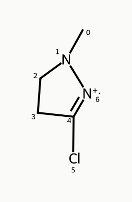 CN1CCC(Cl)=[N+]1